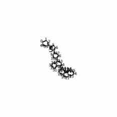 c1ccc(-c2ccc(-c3ccc(-c4ccc(-c5ccc6ccc7cccnc7c6n5)c5ccccc45)cc3)s2)cc1